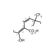 C/C(O)=C(\C=C/C(C)(C)C(F)(F)F)C(=O)O